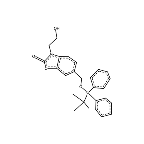 CC(C)(C)[Si](OCc1ccc2c(c1)oc(=O)n2CCO)(c1ccccc1)c1ccccc1